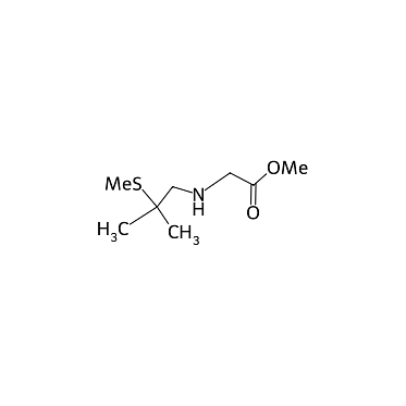 COC(=O)CNCC(C)(C)SC